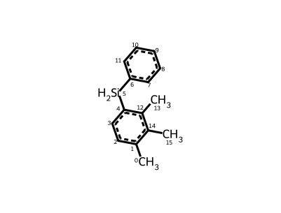 Cc1ccc([SiH2]c2ccccc2)c(C)c1C